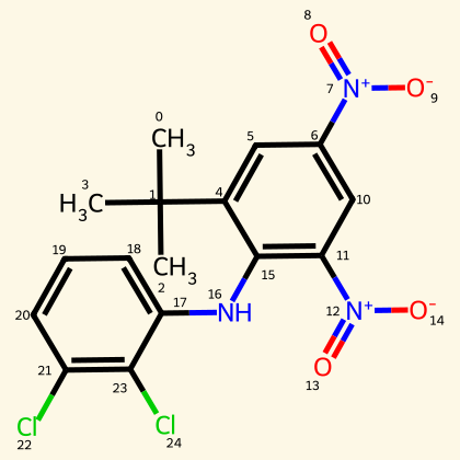 CC(C)(C)c1cc([N+](=O)[O-])cc([N+](=O)[O-])c1Nc1cccc(Cl)c1Cl